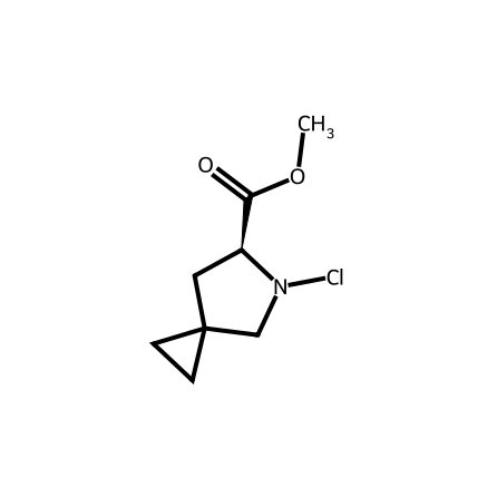 COC(=O)[C@@H]1CC2(CC2)CN1Cl